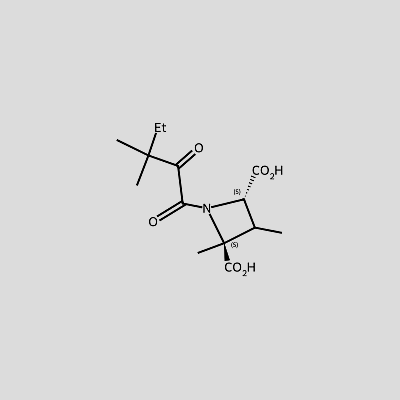 CCC(C)(C)C(=O)C(=O)N1[C@H](C(=O)O)C(C)[C@@]1(C)C(=O)O